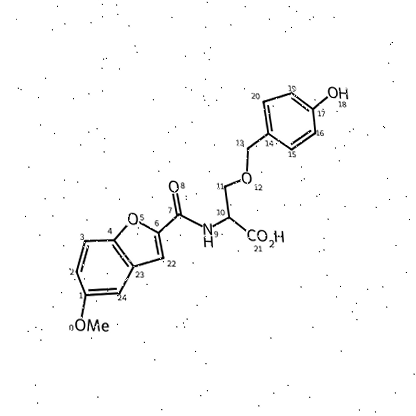 COc1ccc2oc(C(=O)NC(COCc3ccc(O)cc3)C(=O)O)cc2c1